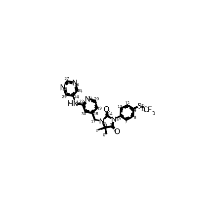 CC1(C)C(=O)N(c2ccc(SC(F)(F)F)cc2)C(=O)N1Cc1ccnc(Nc2cncnc2)c1